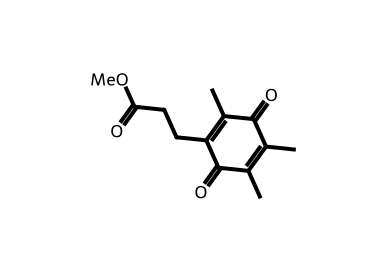 COC(=O)CCC1=C(C)C(=O)C(C)=C(C)C1=O